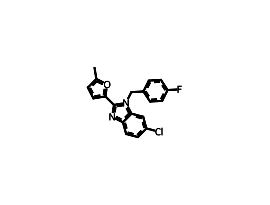 Cc1ccc(-c2nc3ccc(Cl)cc3n2Cc2ccc(F)cc2)o1